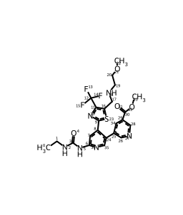 CCNC(=O)Nc1cc(-c2nc(C(F)(F)F)c(CNCCOC)s2)c(-c2cncc(C(=O)OC)c2)cn1